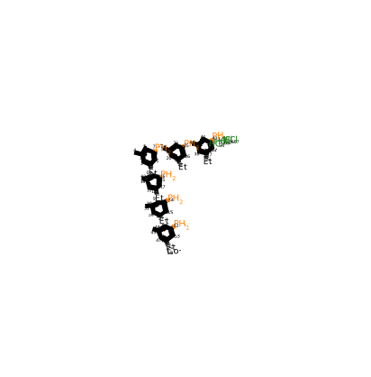 CCc1cc(C)cc(P)c1.CCc1cc(C)cc(P)c1.CCc1cc(C)cc(P)c1.CCc1cc(C)cc(P)c1.CCc1cc(C)cc(P)c1.CCc1cc(C)cc(P)c1.Cl.Cl.Cl.Cl.[Co]